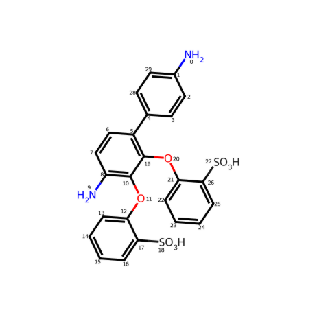 Nc1ccc(-c2ccc(N)c(Oc3ccccc3S(=O)(=O)O)c2Oc2ccccc2S(=O)(=O)O)cc1